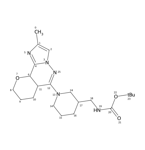 Cc1cn2c(n1)C1OCCCC1C(N1CCCC(CNC(=O)OC(C)(C)C)C1)=N2